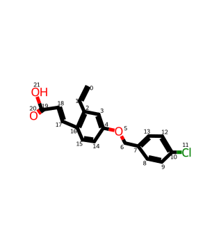 C=Cc1cc(OCc2ccc(Cl)cc2)ccc1C=CC(=O)O